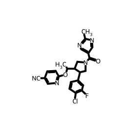 Cc1ncc(C(=O)N2CC(c3ccc(Cl)c(F)c3)C(C(C)Oc3ccc(C#N)cn3)C2)cn1